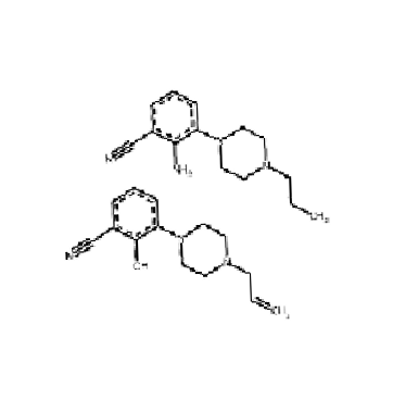 C=CCN1CCN(c2cccc(C#N)c2O)CC1.CCCN1CCN(c2cccc(C#N)c2N)CC1